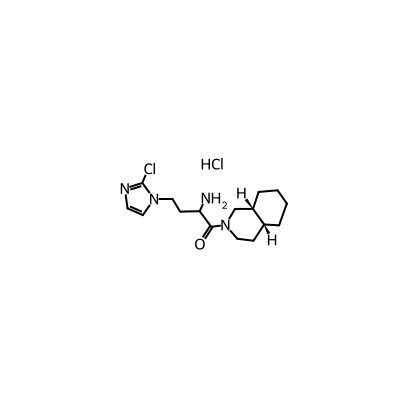 Cl.NC(CCn1ccnc1Cl)C(=O)N1CC[C@H]2CCCC[C@H]2C1